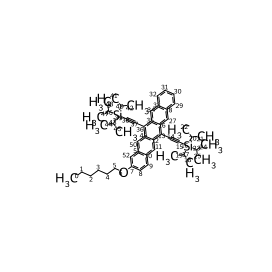 CCCCCCOc1ccc2cc3c(C#C[Si](C(C)C)(C(C)C)C(C)C)c4cc5ccccc5cc4c(C#C[Si](C(C)C)(C(C)C)C(C)C)c3cc2c1